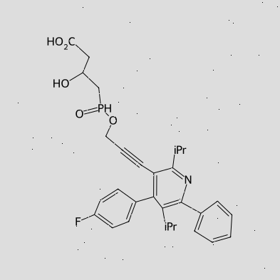 CC(C)c1nc(-c2ccccc2)c(C(C)C)c(-c2ccc(F)cc2)c1C#CCO[PH](=O)CC(O)CC(=O)O